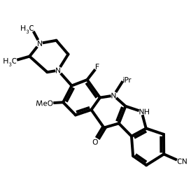 COc1cc2c(=O)c3c4ccc(C#N)cc4[nH]c3n(C(C)C)c2c(F)c1N1CCN(C)C(C)C1